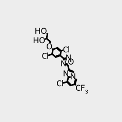 OCC(O)COC1C=C(Cl)C(c2noc(-c3cn4cc(C(F)(F)F)cc(Cl)c4n3)n2)=CC1Cl